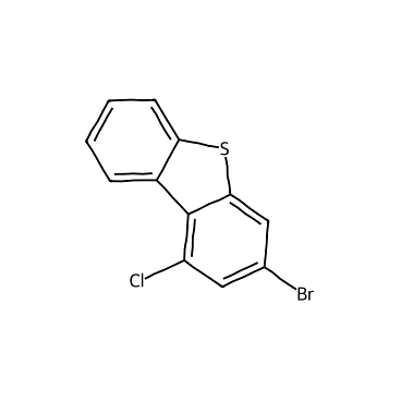 Clc1cc(Br)cc2sc3ccccc3c12